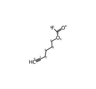 C#CCCCCOC(=O)F